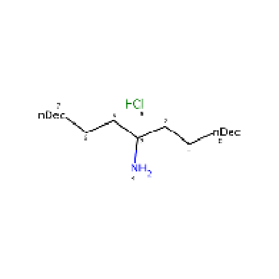 CCCCCCCCCCCCC(N)CCCCCCCCCCCC.Cl